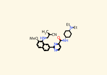 C=C(C#N)CNc1c(OC)ccc2ccc(-c3nccc(C(=O)N[C@H]4CC[C@H](N(CC)CC)CC4)n3)cc12